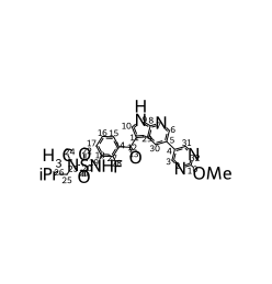 COc1ncc(-c2cnc3[nH]cc(C(=O)c4cccc(NS(=O)(=O)N(C)CC(C)C)c4F)c3c2)cn1